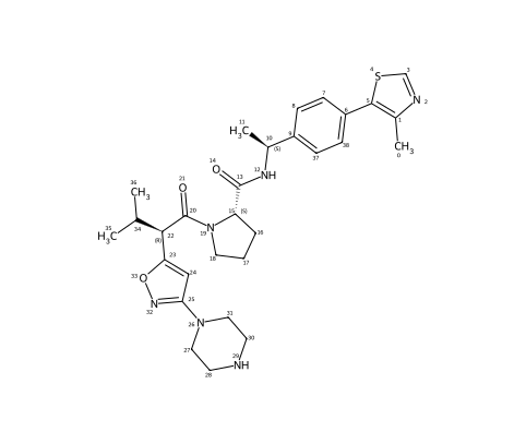 Cc1ncsc1-c1ccc([C@H](C)NC(=O)[C@@H]2CCCN2C(=O)[C@@H](c2cc(N3CCNCC3)no2)C(C)C)cc1